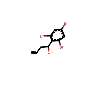 C=CCC(O)c1c(Br)cc(Br)cc1Br